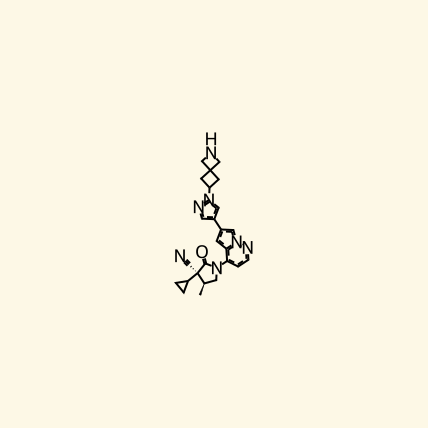 C[C@@H]1CN(c2ccnn3cc(-c4cnn(C5CC6(CNC6)C5)c4)cc23)C(=O)[C@]1(C#N)C1CC1